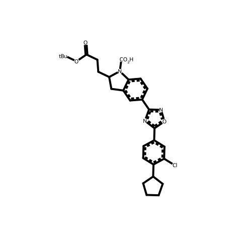 CC(C)(C)OC(=O)CCC1Cc2cc(-c3noc(-c4ccc(C5CCCC5)c(Cl)c4)n3)ccc2N1C(=O)O